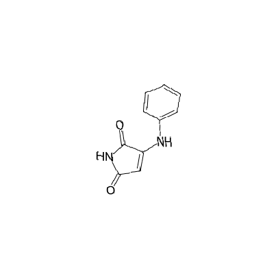 O=C1C=C(Nc2ccccc2)C(=O)N1